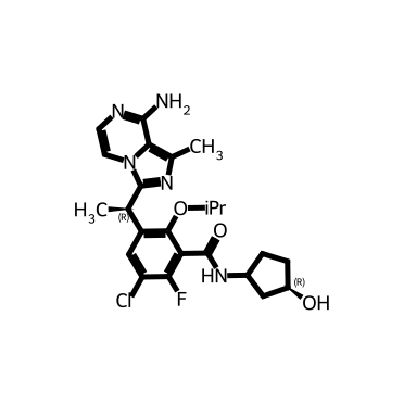 Cc1nc([C@H](C)c2cc(Cl)c(F)c(C(=O)NC3CC[C@@H](O)C3)c2OC(C)C)n2ccnc(N)c12